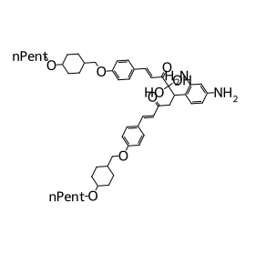 CCCCCOC1CCC(COc2ccc(C=CC(=O)CC(c3ccc(N)cc3N)C(O)(O)C(=O)C=Cc3ccc(OCC4CCC(OCCCCC)CC4)cc3)cc2)CC1